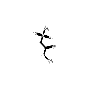 COC(=N)CS(C)(=O)=O